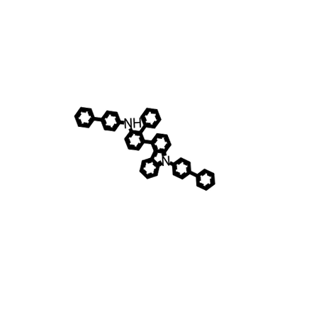 c1ccc(-c2ccc(Nc3cccc(-c4cccc5c4c4ccccc4n5-c4ccc(-c5ccccc5)cc4)c3-c3ccccc3)cc2)cc1